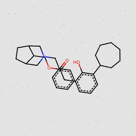 O=C(Cc1cccc(C2CCCCCC2)c1O)OCC1C2CCC1CN(Cc1ccccc1)C2